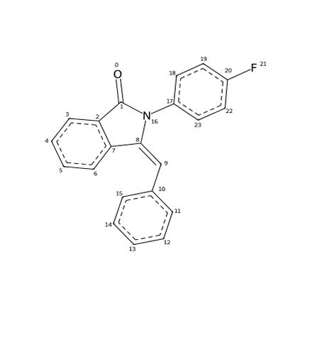 O=C1c2ccccc2C(=Cc2ccccc2)N1c1ccc(F)cc1